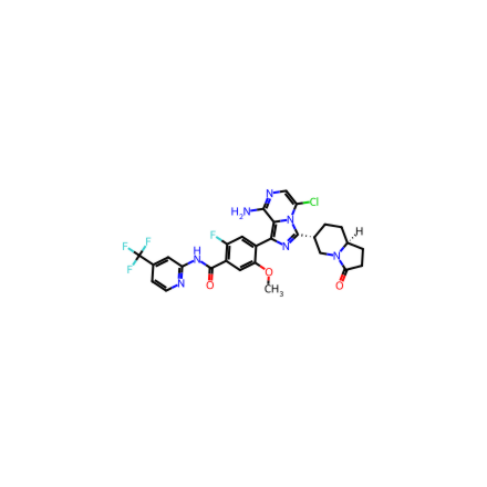 COc1cc(C(=O)Nc2cc(C(F)(F)F)ccn2)c(F)cc1-c1nc([C@@H]2CC[C@H]3CCC(=O)N3C2)n2c(Cl)cnc(N)c12